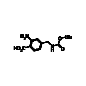 CC(C)(C)OC(=O)NCc1ccc(C(=O)O)c([N+](=O)[O-])c1